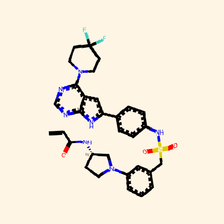 C=CC(=O)N[C@H]1CCN(c2cccc(CS(=O)(=O)Nc3ccc(-c4cc5c(N6CCC(F)(F)CC6)ncnc5[nH]4)cc3)c2)C1